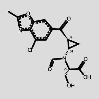 Cc1nc2c(Cl)cc(C(=O)[C@H]3C[C@@H]3N(C=O)[C@@H](CO)C(=O)O)cc2o1